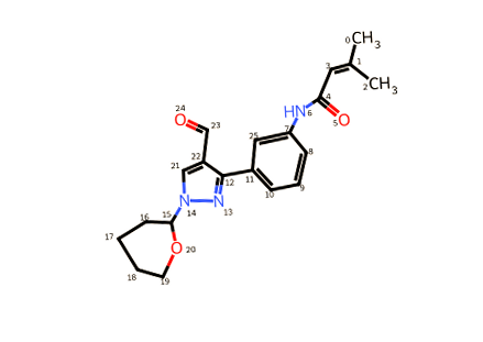 CC(C)=CC(=O)Nc1cccc(-c2nn(C3CCCCO3)cc2C=O)c1